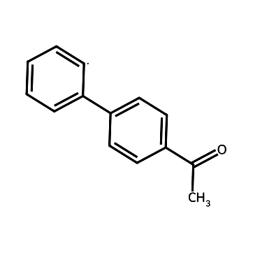 CC(=O)c1ccc(-c2[c]cccc2)cc1